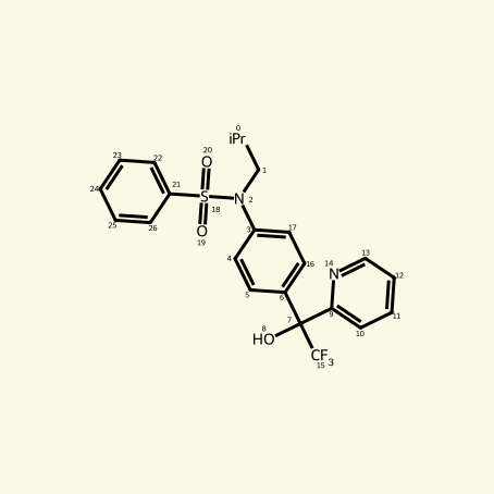 CC(C)CN(c1ccc(C(O)(c2ccccn2)C(F)(F)F)cc1)S(=O)(=O)c1ccccc1